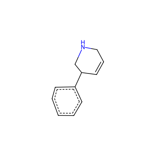 C1=CC(c2ccccc2)CNC1